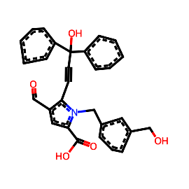 O=Cc1cc(C(=O)O)n(Cc2cccc(CO)c2)c1C#CC(O)(c1ccccc1)c1ccccc1